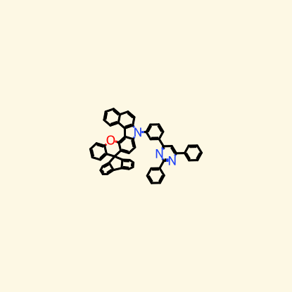 c1ccc(-c2cc(-c3cccc(-n4c5ccc6c(c5c5c7ccccc7ccc54)Oc4ccccc4C64c5ccccc5-c5ccccc54)c3)nc(-c3ccccc3)n2)cc1